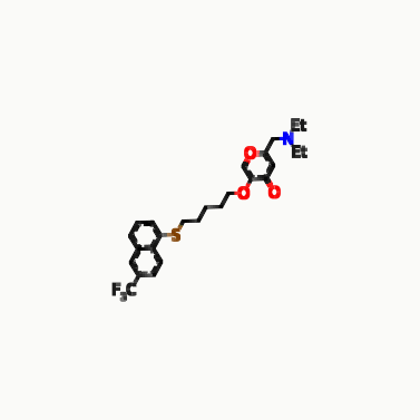 CCN(CC)Cc1cc(=O)c(OCCCCCSc2cccc3cc(C(F)(F)F)ccc23)co1